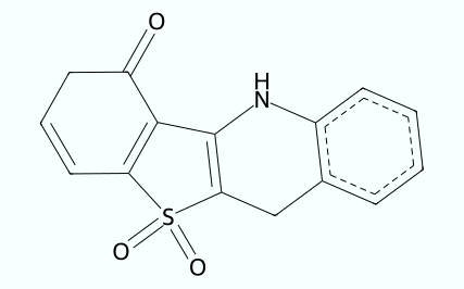 O=C1CC=CC2=C1C1=C(Cc3ccccc3N1)S2(=O)=O